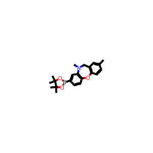 Cc1ccc2c(c1)CN(C)c1cc(B3OC(C)(C)C(C)(C)O3)ccc1O2